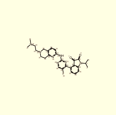 CC(C)N1C(=O)C(=O)c2c(-c3nc(Nc4ccc5c(n4)CCN(CCN(C)C)C5)ncc3F)cccc21